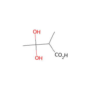 CC(C(=O)O)C(C)(O)O